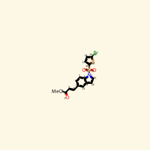 COC(=O)C=Cc1ccc2c(ccn2S(=O)(=O)c2ccc(Br)s2)c1